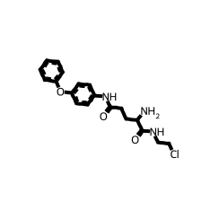 NC(CCC(=O)Nc1ccc(Oc2ccccc2)cc1)C(=O)NCCCl